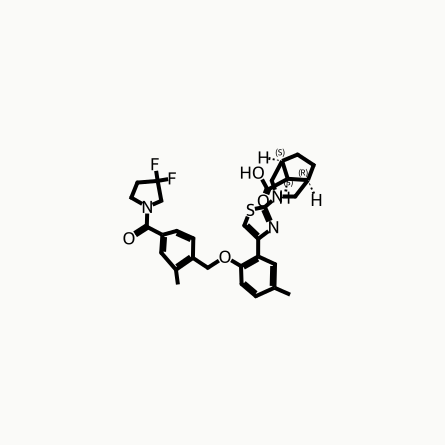 Cc1ccc(OCc2ccc(C(=O)N3CCC(F)(F)C3)cc2C)c(-c2csc(N3C[C@H]4CC[C@@H](C3)[C@H]4C(=O)O)n2)c1